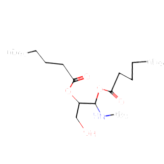 CCCCCCCCCCCCCC(=O)OC(CO)C(NC(C)(C)C)OC(=O)CCCCCCCCCCCCC